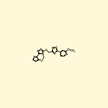 CCn1c(SCc2noc(-c3ccnc(OC)c3)n2)nnc1-c1cccs1